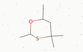 CC1CC(C)(C)SC(C)O1